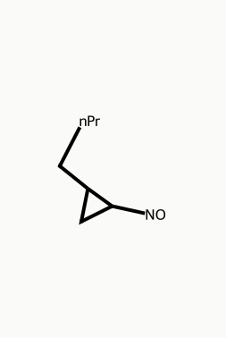 CCCCC1CC1N=O